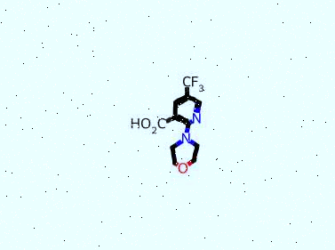 O=C(O)c1cc(C(F)(F)F)cnc1N1CCOCC1